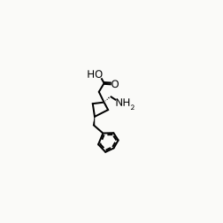 NC[C@]1(CC(=O)O)C[C@@H](Cc2ccccc2)C1